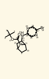 CC(C)(C)OC(=O)N1C2CCC1C(Nc1cnc(Br)cn1)C2